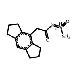 N/[SH](=O)=N\C(=O)Cc1c2c(cc3c1CCC3)CCC2